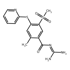 Cc1cc(Sc2ccccn2)c(S(C)(=O)=O)cc1C(=O)N=C(N)N